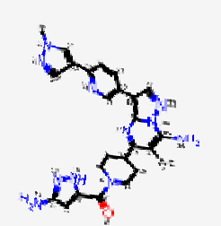 CC(=O)c1c(C2CCN(C(=O)c3cc(N)n[nH]3)CC2)nc2c(-c3ccc(-c4cnn(C)c4)nc3)cnn2c1N